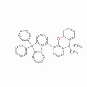 CC1(C)C2=CC=CCC2Oc2c(-c3cccc4c3-c3ccccc3C4(c3ccccc3)c3ccccc3)cccc21